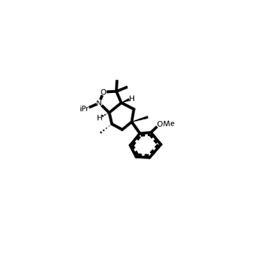 COc1ccccc1[C@@]1(C)C[C@@H]2[C@@H]([C@@H](C)C1)N(C(C)C)OC2(C)C